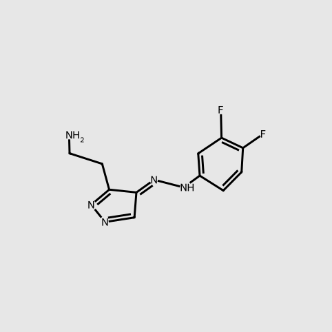 NCCC1=NN=CC1=NNc1ccc(F)c(F)c1